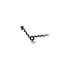 CC(C)(C)CCCCCCc1cc(O)cc(CCCCCCC2(C)CC2)c1